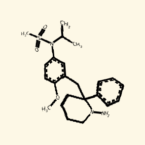 COc1ccc(N(C(C)C)S(C)(=O)=O)cc1CC1(c2ccccc2)CCCCN1N